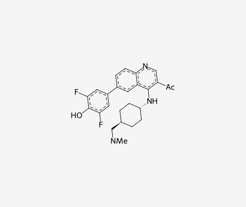 CNC[C@H]1CC[C@H](Nc2c(C(C)=O)cnc3ccc(-c4cc(F)c(O)c(F)c4)cc23)CC1